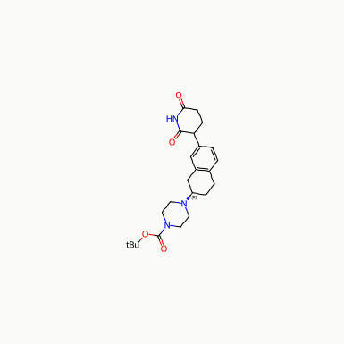 CC(C)(C)OC(=O)N1CCN([C@@H]2CCc3ccc(C4CCC(=O)NC4=O)cc3C2)CC1